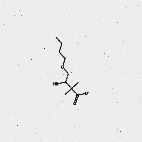 CCCCOCC(O)C(C)(C)[N+](=O)[O-]